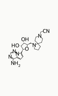 N#CCN1CCC2(CCCN2C[C@H]2O[C@@H](c3ccc4c(N)ncnn34)[C@H](O)[C@@H]2O)CC1